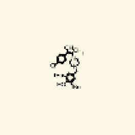 CC(C(O)c1ccc(Cl)cc1)N1CCN(Cc2cc(C(C)(C)C)c(O)c(C(C)(C)C)c2)CC1